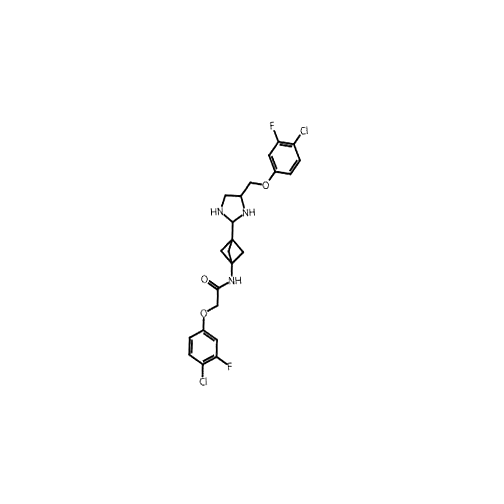 O=C(COc1ccc(Cl)c(F)c1)NC12CC(C3NCC(COc4ccc(Cl)c(F)c4)N3)(C1)C2